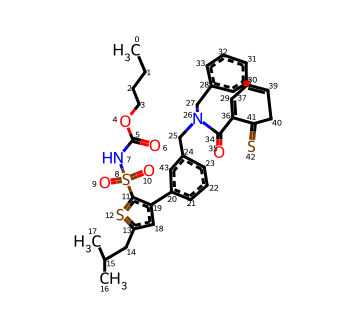 CCCCOC(=O)NS(=O)(=O)c1sc(CC(C)C)cc1-c1cccc(CN(Cc2ccccc2)C(=O)C2=CC=CCC2=S)c1